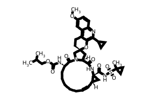 COc1ccc2nc(C3CC3)c3c(c2c1)CC[C@]1(C[C@H]2C(=O)N[C@]4(C(=O)NS(=O)(=O)C5(C)CC5)C[C@H]4/C=C\CCCCC[C@H](NC(=O)OCC(C)C)C(=O)N2C1)O3